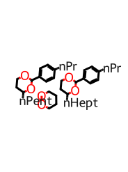 C1CCOOC1.CCCCCC1CCOC(c2ccc(CCC)cc2)O1.CCCCCCCC1CCOC(c2ccc(CCC)cc2)O1